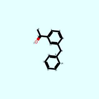 CC(=O)c1cccc(Cc2c[c]ccc2)c1